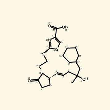 CC(O)(C/C=C/[C@@H]1CCC(=O)[C@@H]1CCSc1nc(C(=O)O)cs1)CC1CCCCC1